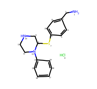 Cl.NCc1ccc(SC2CNCCN2c2ccccc2)cc1